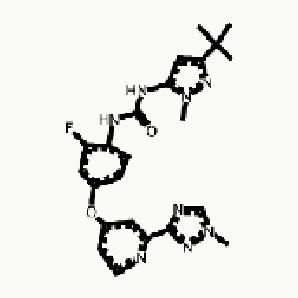 Cn1cnc(-c2cc(Oc3ccc(NC(=O)Nc4cc(C(C)(C)C)nn4C)c(F)c3)ccn2)n1